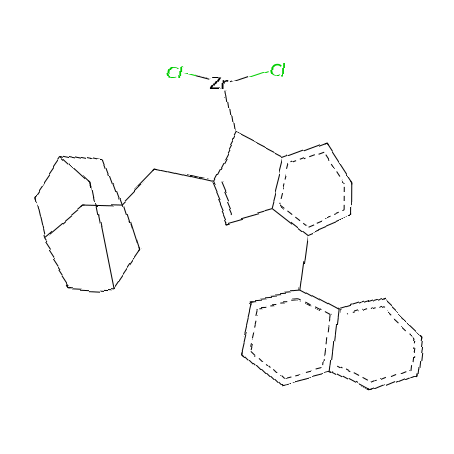 [Cl][Zr]([Cl])[CH]1C(CC23CC4CC(CC(C4)C2)C3)=Cc2c(-c3cccc4ccccc34)cccc21